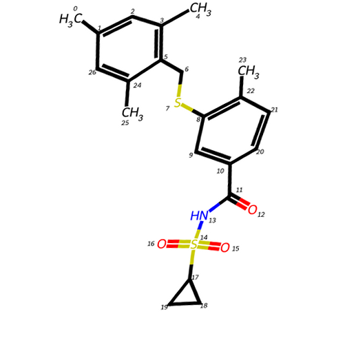 Cc1cc(C)c(CSc2cc(C(=O)NS(=O)(=O)C3CC3)ccc2C)c(C)c1